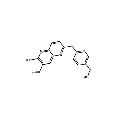 CCCCCc1cc2nc(Cc3ccc(CO)cc3)ccc2nc1N